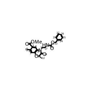 COC(=O)c1cc2c(cc1I)O[C@H](C)C(=O)N2CCNC(=O)OCc1ccccc1